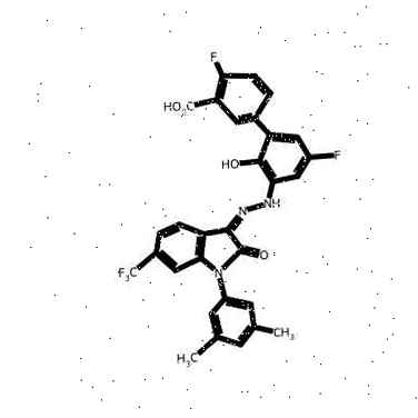 Cc1cc(C)cc(N2C(=O)C(=NNc3cc(F)cc(-c4ccc(F)c(C(=O)O)c4)c3O)c3ccc(C(F)(F)F)cc32)c1